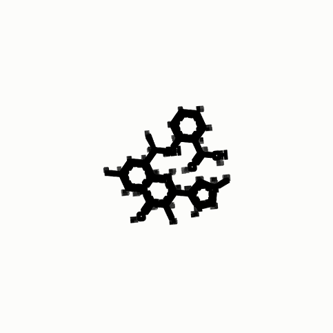 Cc1cc([C@@H](C)Nc2ccccc2C(=O)O)c2nc(-c3cn(C)cn3)c(C)c(=O)n2c1